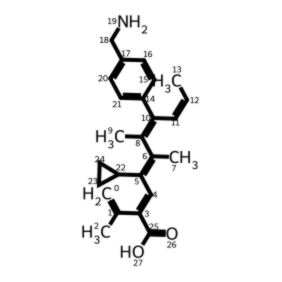 C=C(C)\C(=C/C(=C(C)/C(C)=C(\C=C/C)c1ccc(CN)cc1)C1CC1)C(=O)O